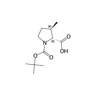 C[C@@H]1CCN(C(=O)OC(C)(C)C)[C@H]1C(=O)O